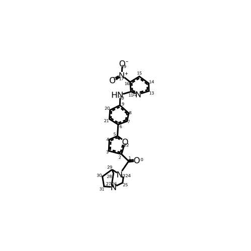 O=C(c1ccc(-c2ccc(Nc3ncccc3[N+](=O)[O-])cc2)o1)N1CCN2CCC1CC2